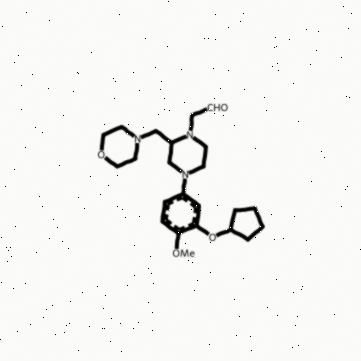 COc1ccc(N2CCN(CC=O)C(CN3CCOCC3)C2)cc1OC1CCCC1